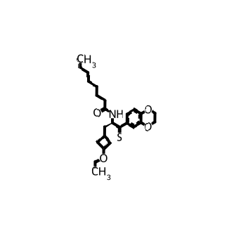 CCCCCCCC(=O)N[C@H](CC1CC(OCC)C1)C(=S)c1ccc2c(c1)OCCO2